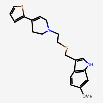 COc1ccc2c(CSCCN3CC=C(c4cccs4)CC3)c[nH]c2c1